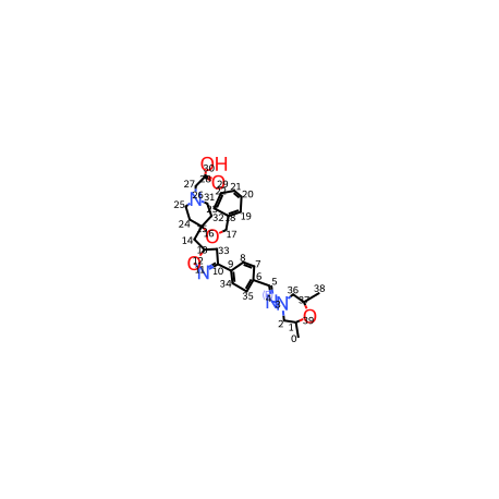 CC1CN(/N=C/c2ccc(C3=NOC(CC4(OCc5ccccc5)CCN(CC(=O)O)CC4)C3)cc2)CC(C)O1